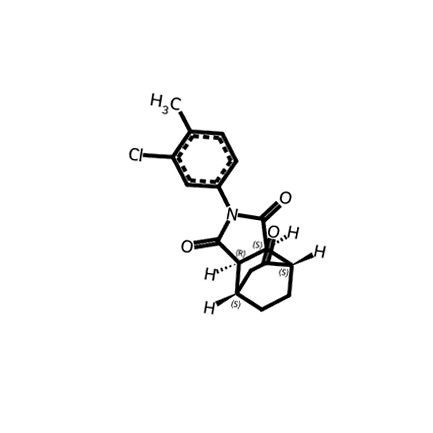 Cc1ccc(N2C(=O)[C@@H]3[C@H]4CC[C@H](C(=O)C4)[C@@H]3C2=O)cc1Cl